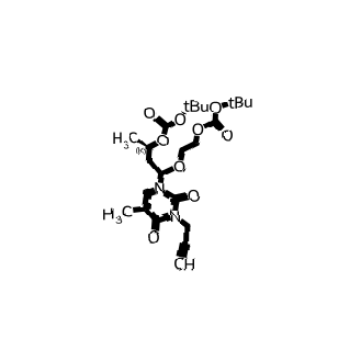 C#CCn1c(=O)c(C)cn(C(C[C@@H](C)OC(=O)OC(C)(C)C)OCCOC(=O)OC(C)(C)C)c1=O